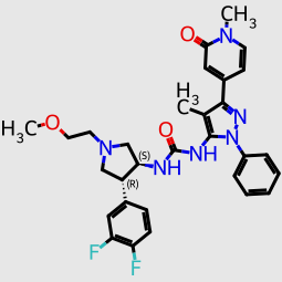 COCCN1C[C@@H](NC(=O)Nc2c(C)c(-c3ccn(C)c(=O)c3)nn2-c2ccccc2)[C@H](c2ccc(F)c(F)c2)C1